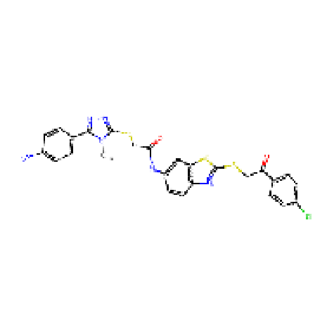 Cn1c(SCC(=O)Nc2ccc3nc(SCC(=O)c4ccc(Cl)cc4)sc3c2)nnc1-c1ccc(N)cc1